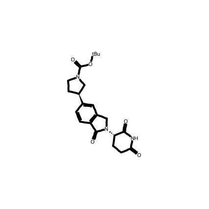 CC(C)(C)OC(=O)N1CC[C@H](c2ccc3c(c2)CN([C@H]2CCC(=O)NC2=O)C3=O)C1